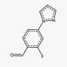 O=Cc1ccc(-n2cccn2)cc1F